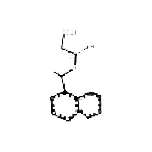 CC(N[C@@H](CC(=O)O)C(C)C)c1cccc2ccccc12